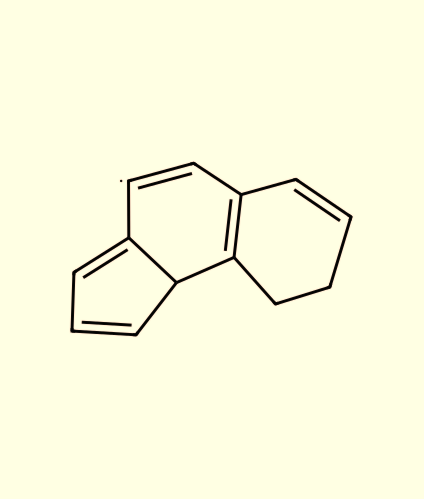 [C]1=CC2=C(CCC=C2)C2C=CC=C12